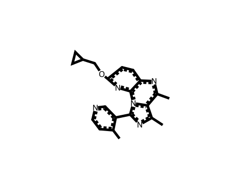 Cc1ccncc1-c1nc(C)c2c(C)nc3ccc(OCC4CC4)nc3n12